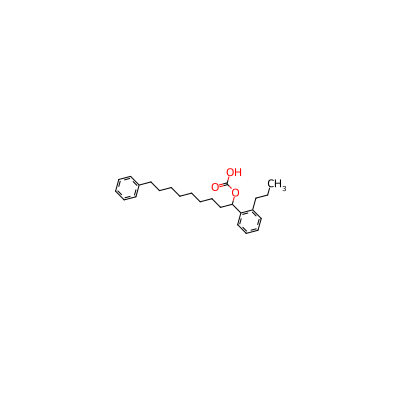 CCCc1ccccc1C(CCCCCCCCc1ccccc1)OC(=O)O